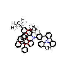 CC1C=CC=CC1n1c2ccccc2c2cccc(-c3ccc(N(c4ccccc4-c4cccc5cccc(-c6cc(C(C)(C)C)cc(C(C)(C)C)c6)c45)c4cccc5c4-c4ccccc4C5(c4ccccc4)c4ccccc4)cc3)c21